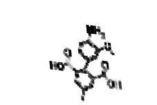 COc1cc(-c2c(C(=O)O)cc(C)cc2C(=O)O)ccc1N